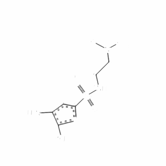 CN(C)CCNS(=O)(=O)c1cc(N)c(Cl)s1